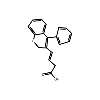 O=C(O)CC=CC1=C(c2ccccc2)c2ccccc2OC1